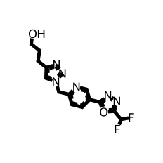 OCCCc1cn(Cc2ccc(-c3nnc(C(F)F)o3)cn2)nn1